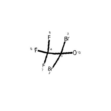 [O]C(Br)(Br)C(F)(F)F